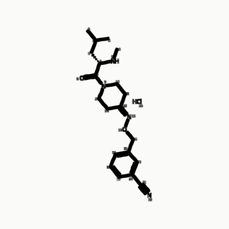 CN[C@@H](CC(C)C)C(=O)N1CCC(=NOCc2cccc(C#N)c2)CC1.Cl